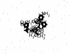 COc1cccc(C2(NCC(=O)N[C@H](C(=O)N[C@@H](Cc3ccccc3)[C@H](O)CN(CC(C)C)S(=O)(=O)c3ccc(N)cc3)C(C)(C)C)CC2)c1